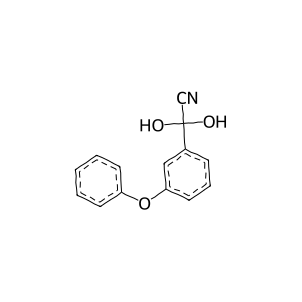 N#CC(O)(O)c1cccc(Oc2ccccc2)c1